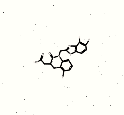 O=C(O)CC1Cc2c(F)cccc2N(Cc2nc3c(F)c(F)ccc3s2)C1=O